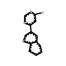 Clc1cc(-c2cnc3ccccc3c2)ncn1